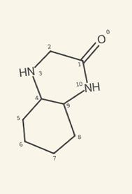 O=C1CNC2CCCCC2N1